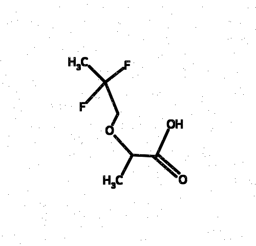 CC(OCC(C)(F)F)C(=O)O